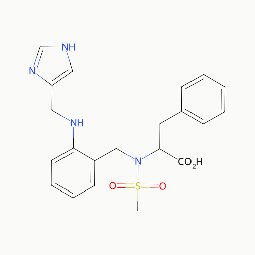 CS(=O)(=O)N(Cc1ccccc1NCc1c[nH]cn1)C(Cc1ccccc1)C(=O)O